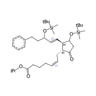 CC(C)OC(=O)CCC/C=C\C[C@H]1C(=O)CC(O[Si](C)(C)C(C)(C)C)[C@@H]1/C=C/C(CCc1ccccc1)O[Si](C)(C)C(C)(C)C